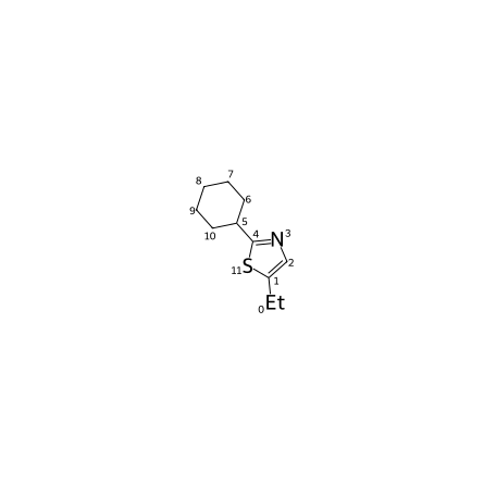 CCc1cnc(C2CCCCC2)s1